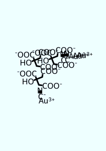 O=C([O-])CC(O)(CC(=O)[O-])C(=O)[O-].O=C([O-])CC(O)(CC(=O)[O-])C(=O)[O-].O=C([O-])CC(O)(CC(=O)[O-])C(=O)[O-].[Au+3].[Au+3].[Au+3].[Au+3].[C-]#N.[C-]#N.[C-]#N